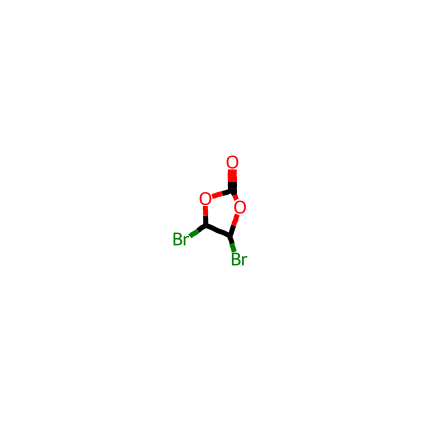 O=C1OC(Br)C(Br)O1